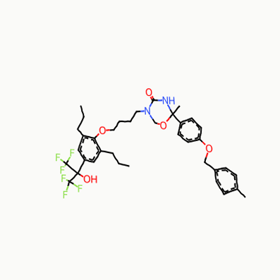 CCCc1cc(C(O)(C(F)(F)F)C(F)(F)F)cc(CCC)c1OCCCCN1COC(C)(c2ccc(OCc3ccc(C)cc3)cc2)NC1=O